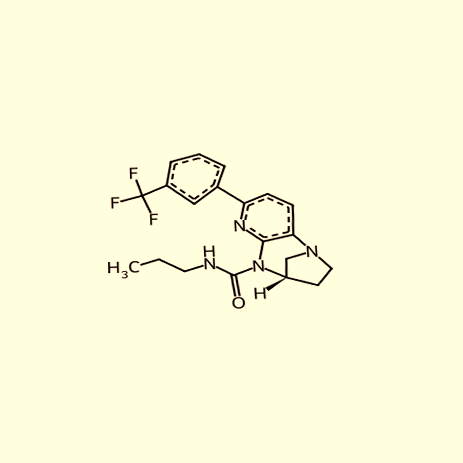 CCCNC(=O)N1c2nc(-c3cccc(C(F)(F)F)c3)ccc2N2CC[C@H]1C2